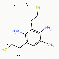 Cc1cc(CCS)c(N)c(CCS)c1N